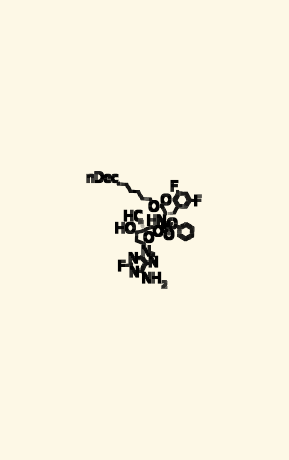 C#C[C@]1(CO[P@@](=O)(N[C@@H](Cc2cc(F)cc(F)c2)C(=O)OCCCCCCCCCCCCCCCC)Oc2ccccc2)O[C@@H](n2cnc3c(N)nc(F)nc32)C[C@@H]1O